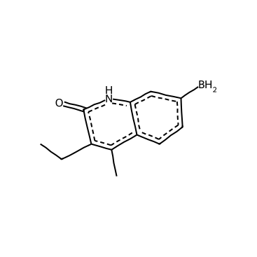 Bc1ccc2c(C)c(CC)c(=O)[nH]c2c1